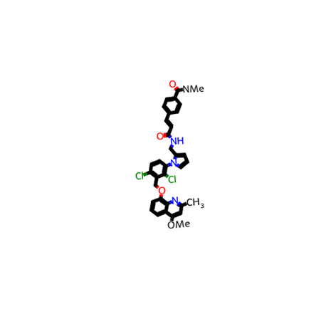 CNC(=O)c1ccc(C=CC(=O)NCc2cccn2-c2ccc(Cl)c(COc3cccc4c(OC)cc(C)nc34)c2Cl)cc1